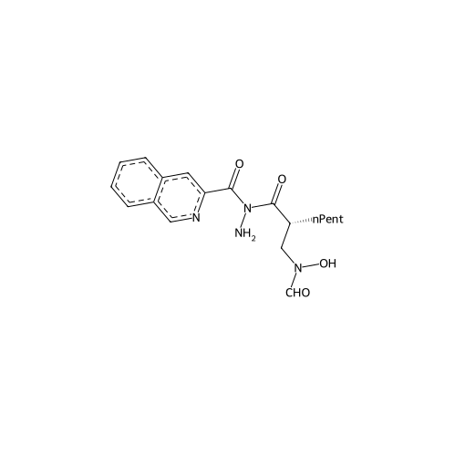 CCCCC[C@H](CN(O)C=O)C(=O)N(N)C(=O)c1cc2ccccc2cn1